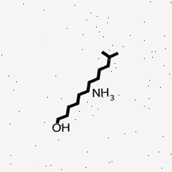 CC(C)CCCCCCCCCCO.N